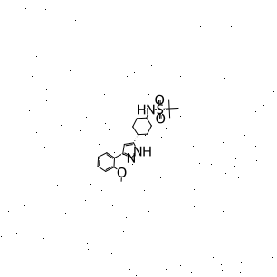 COc1ccccc1-c1cc([C@H]2CC[C@H](NS(=O)(=O)C(C)(C)C)CC2)[nH]n1